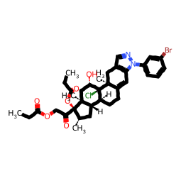 CCC(=O)OCC(=O)[C@@]1(OC(=O)CC)[C@@H](C)C[C@H]2[C@@H]3CCC4=Cc5c(cnn5-c5cccc(Br)c5)C[C@]4(C)[C@@]3(Cl)[C@@H](O)C[C@@]21C